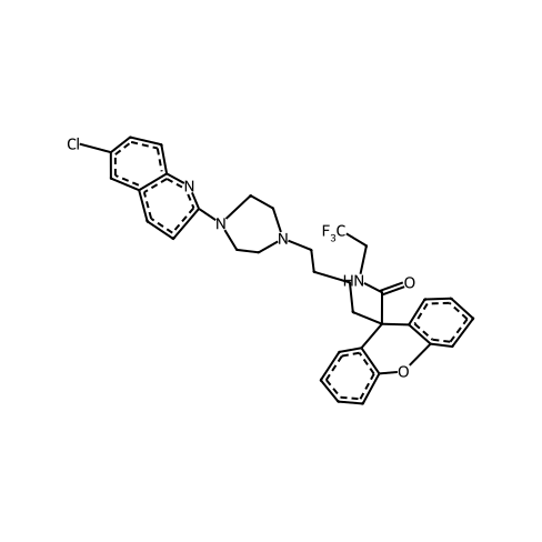 O=C(NCC(F)(F)F)C1(CCCCN2CCN(c3ccc4cc(Cl)ccc4n3)CC2)c2ccccc2Oc2ccccc21